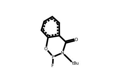 CC(C)(C)N1C(=O)c2ccccc2OP1F